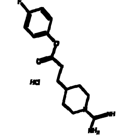 Cl.N=C(N)N1CCC(CCC(=O)Oc2ccc(F)cc2)CC1